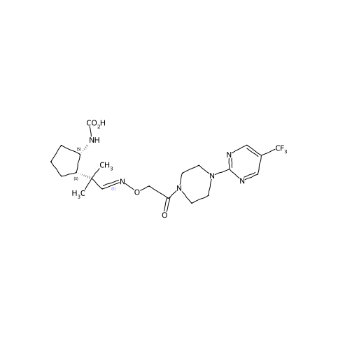 CC(C)(/C=N/OCC(=O)N1CCN(c2ncc(C(F)(F)F)cn2)CC1)[C@@H]1CCC[C@@H]1NC(=O)O